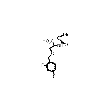 CC(C)(C)OC(=O)NC(COCc1ccc(Cl)cc1F)C(=O)O